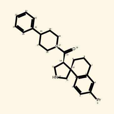 CC(C)c1ccc2c(c1)CCC[C@]21CNC[C@H]1C(=O)N1CCC(c2ccccc2)CC1